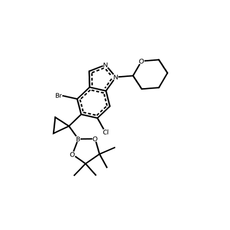 CC1(C)OB(C2(c3c(Cl)cc4c(cnn4C4CCCCO4)c3Br)CC2)OC1(C)C